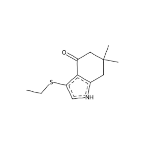 CCSc1c[nH]c2c1C(=O)CC(C)(C)C2